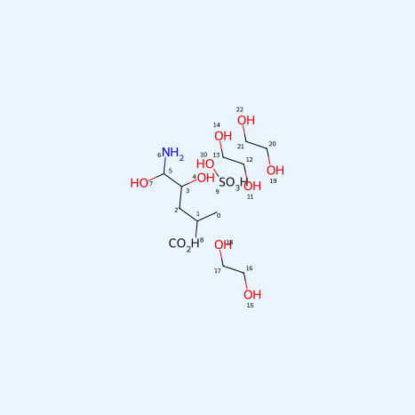 CC(CC(O)C(N)O)C(=O)O.O=S(=O)(O)O.OCCO.OCCO.OCCO